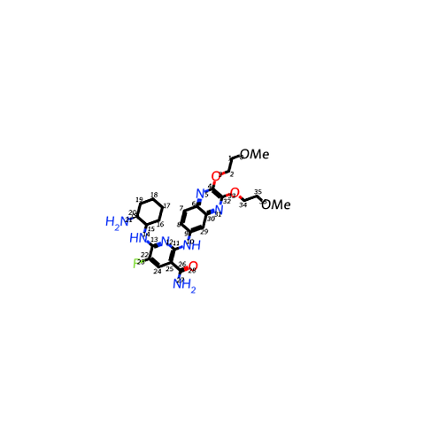 COCCOc1nc2ccc(Nc3nc(NC4CCCC[C@@H]4N)c(F)cc3C(N)=O)cc2nc1OCCOC